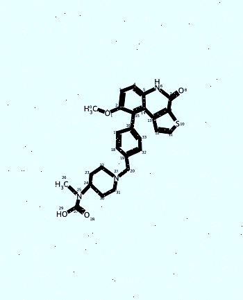 COc1ccc2[nH]c(=O)c3sccc3c2c1-c1ccc(CN2CCC(N(C)C(=O)O)CC2)cc1